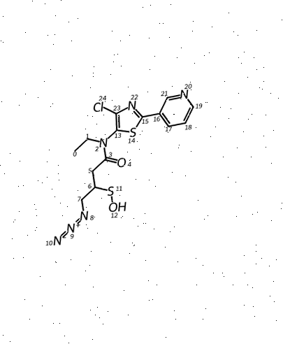 CCN(C(=O)CC(CN=[N+]=[N-])SO)c1sc(-c2cccnc2)nc1Cl